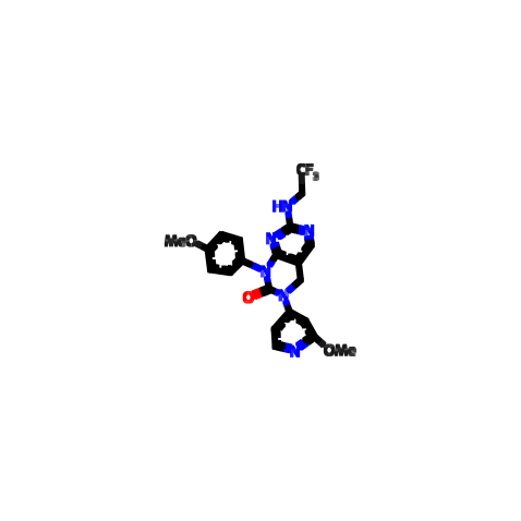 COc1ccc(N2C(=O)N(c3ccnc(OC)c3)Cc3cnc(NCC(F)(F)F)nc32)cc1